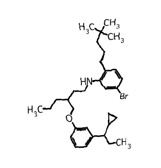 CCCC(CCNc1cc(Br)ccc1CCCC(C)(C)C)COc1cccc(C(CC)C2CC2)c1